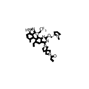 C=CC(=O)N1CC2(CCN(c3nc(OC[C@@H]4CCCN4C)nc4c(OCC(F)(F)F)c(-c5c(C)ccc6[nH]ncc56)c(C=C)cc34)C2)C1